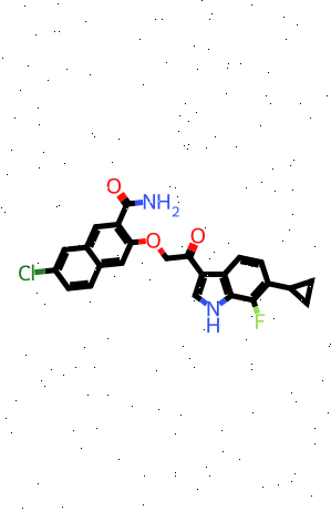 NC(=O)c1cc2cc(Cl)ccc2cc1OCC(=O)c1c[nH]c2c(F)c(C3CC3)ccc12